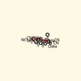 COc1cc(N=C(C#N)C#N)sc1C1=Cc2sc3c(c2C1(C(=O)OCc1ccccc1)C(=O)OCc1ccccc1)C(C(=O)OCc1ccccc1)(C(=O)OCc1ccccc1)c1c-3sc2cc(-c3sc(N=C(C#N)C#N)cc3OC)sc12